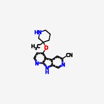 CC1(Oc2ccnc3[nH]c4cnc(C#N)cc4c23)CCCNC1